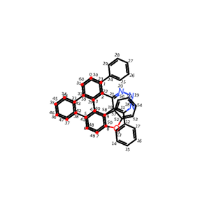 c1ccc(-c2ccccc2-c2c(-c3ccccc3)nnnc2-c2c(-c3ccccc3)ccc(-c3ccccc3)c2-c2c(-c3ccccc3)ccc3oc4ccccc4c23)cc1